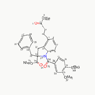 COC(=O)CCc1cccc2c1CC(Cc1ccccc1)(C(=O)OC)N2C(=O)c1ccc(C(C)(C)C)c(OC)c1